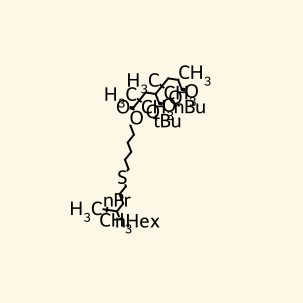 CCCCCCC(CCCSCCCCCCOC(=O)C(C)(C)CC(C(=O)OC(C)(C)C)C(C)(C)CC(C)C(=O)OCCCC)C(C)(C)CCC